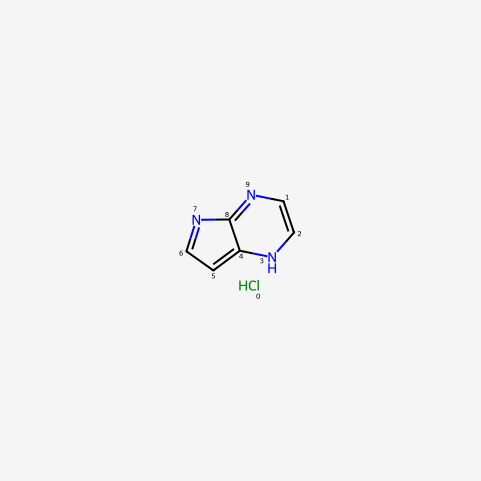 Cl.c1c[nH]c2ccnc-2n1